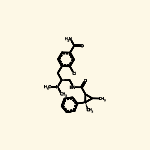 CC1C(C(=O)NC[C@H](Cc2ccc(C(N)=O)cc2Cl)N(C)C)[C@]1(C)c1ccccc1